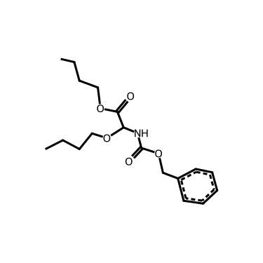 CCCCOC(=O)C(NC(=O)OCc1ccccc1)OCCCC